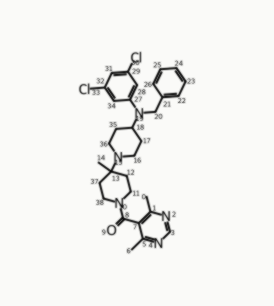 Cc1ncnc(C)c1C(=O)N1CCC(C)(N2CCC(N(Cc3ccccc3)c3cc(Cl)cc(Cl)c3)CC2)CC1